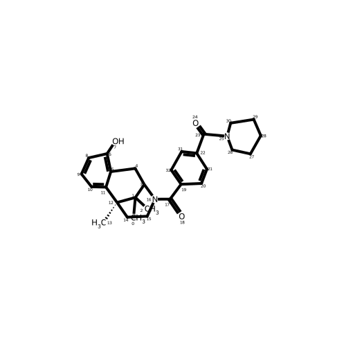 CC1(C)C2Cc3c(O)cccc3[C@]1(C)CCN2C(=O)c1ccc(C(=O)N2CCCCC2)cc1